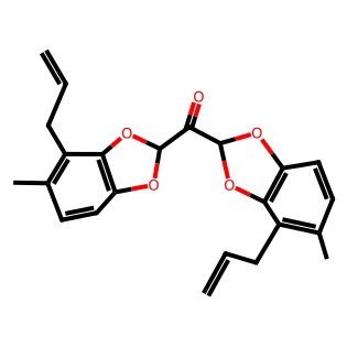 C=CCc1c(C)ccc2c1OC(C(=O)C1Oc3ccc(C)c(CC=C)c3O1)O2